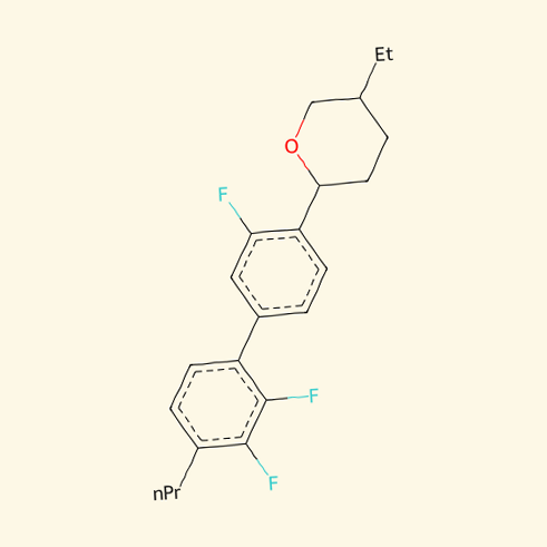 CCCc1ccc(-c2ccc(C3CCC(CC)CO3)c(F)c2)c(F)c1F